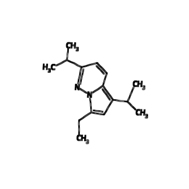 CCc1cc(C(C)C)c2ccc(C(C)C)nn12